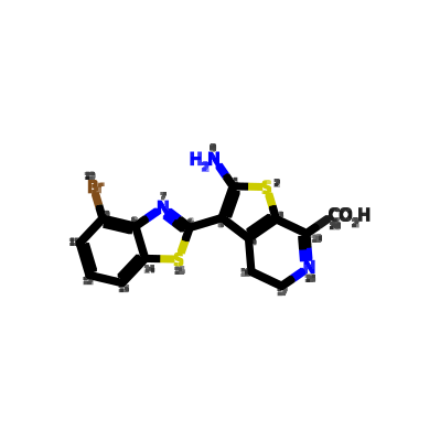 Nc1sc2c(c1-c1nc3c(Br)cccc3s1)CCN=C2C(=O)O